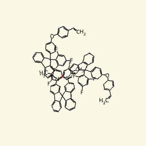 C=CC1=CCC(OC2=CC=C(C3(c4c(F)cc(F)cc4F)C4=C(CCC=C4)c4ccc(N(c5ccc(C)c(F)c5)c5ccc6c(c5)C5(c7ccccc7-6)c6ccccc6-c6ccc(N(c7ccc(C)c(F)c7)c7ccc8c(c7)C(c7ccc(Oc9ccc(C=C)cc9)cc7)(c7c(F)cc(F)cc7F)c7ccccc7-8)cc65)cc43)CC2)C=C1